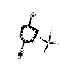 F[B-](F)(F)F.N#[N+]c1ccc(O)cc1